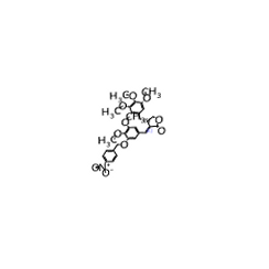 COc1cc(C[C@@H]2COC(=O)/C2=C/c2cc(OC)c(OC)c(OCc3ccc([N+](=O)[O-])cc3)c2)cc(OC)c1OC